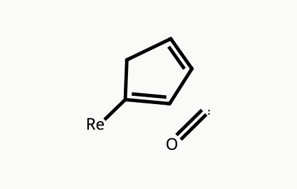 [C]=O.[Re][C]1=CC=CC1